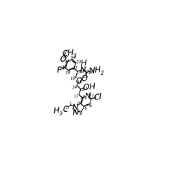 CCn1ncc2cc(Cl)nc(CC(O)COCC(NC(N)=O)c3ccc(OC)c(F)c3)c21